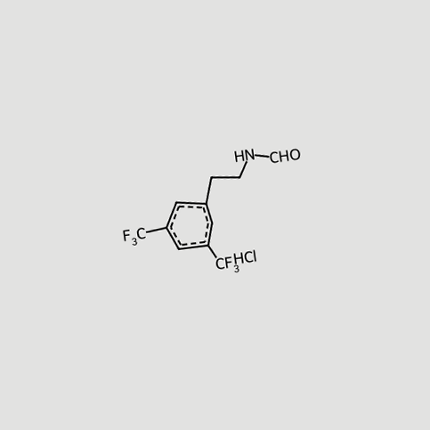 Cl.O=CNCCc1cc(C(F)(F)F)cc(C(F)(F)F)c1